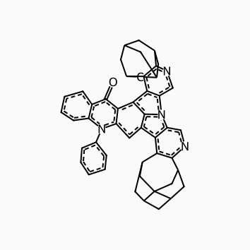 O=c1c2ccccc2n(-c2ccccc2)c2cc3c4c5c(ncc4n4c6cnc7c(c6c(c12)c34)C1CC2CC(CC7C2)C1)C1CC2CC3CC5CC23C1